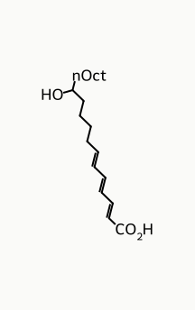 CCCCCCCCC(O)CCCC/C=C/C=C/C=C/C(=O)O